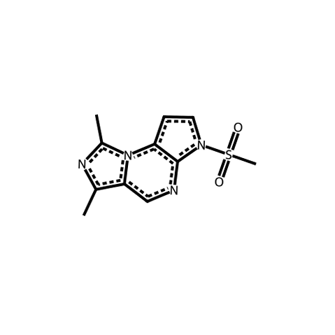 Cc1nc(C)n2c1cnc1c2ccn1S(C)(=O)=O